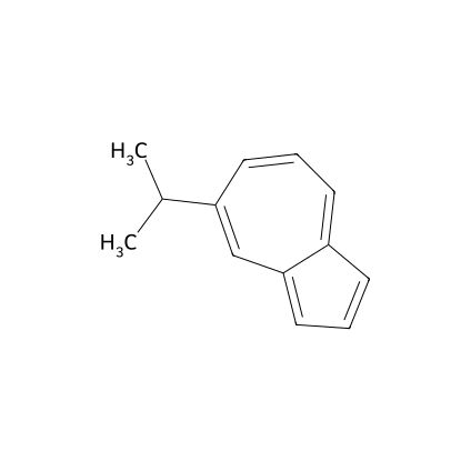 CC(C)c1cccc2cccc-2c1